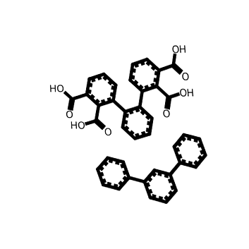 O=C(O)c1cccc(-c2ccccc2-c2cccc(C(=O)O)c2C(=O)O)c1C(=O)O.c1ccc(-c2cccc(-c3ccccc3)c2)cc1